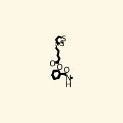 CNC(=O)c1ccccc1OC(=O)CCCC[C@H]1CCSS1